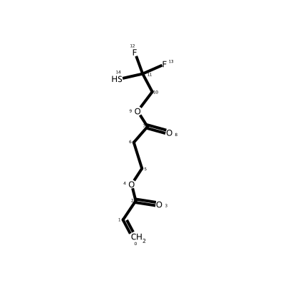 C=CC(=O)OCCC(=O)OCC(F)(F)S